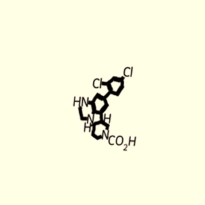 O=C(O)N1CC[C@H]2[C@@H](C1)c1cc(-c3ccc(Cl)cc3Cl)cc3c1N2CCN3